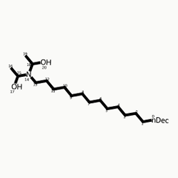 CCCCCCCCCCCCCCCCCCCCCCCN(C(C)O)C(C)O